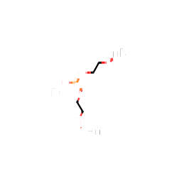 CCCCOCCOP(OCC)OCCOCCCC